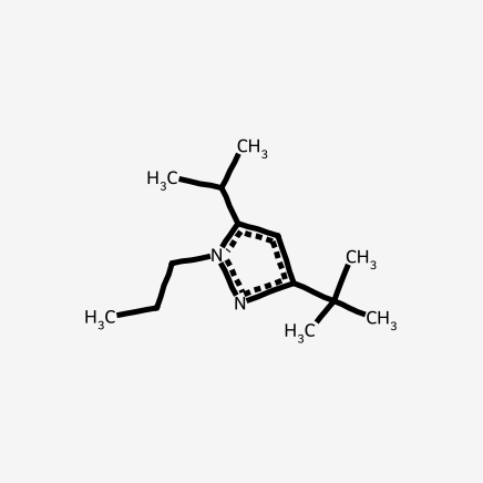 CCCn1nc(C(C)(C)C)cc1C(C)C